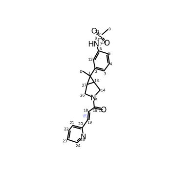 CC1(c2cccc(NS(C)(=O)=O)c2)C2CN(C(=O)/C=C/c3ccccn3)CC21